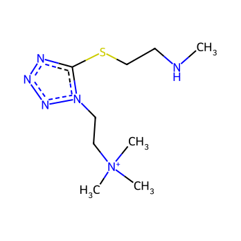 CNCCSc1nnnn1CC[N+](C)(C)C